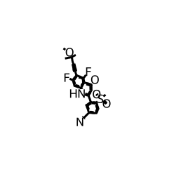 COC(C)(C)C#Cc1c(F)cc2[nH]c(-c3cc(C#N)ccc3S(C)(=O)=O)cc(=O)c2c1F